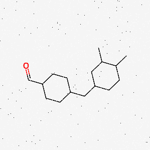 CC1CCC(CC2CCC(C=O)CC2)CC1C